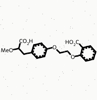 COC(Cc1ccc(OCCOc2ccccc2C(=O)O)cc1)C(=O)O